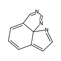 C1=CC2=CC=NC23N=CN=CC3=C1